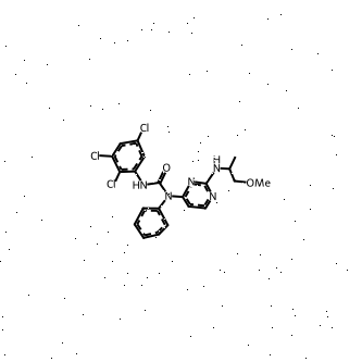 COCC(C)Nc1nccc(N(C(=O)Nc2cc(Cl)cc(Cl)c2Cl)c2ccccc2)n1